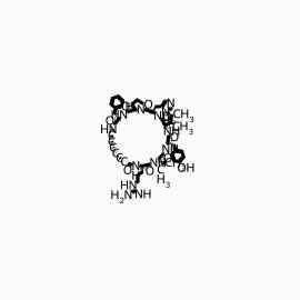 CC[C@H](C)[C@@H]1NC(=O)[C@H](Cc2ccc(O)cc2)NC(=O)[C@H](C(C)C)NC(=O)[C@@H](CCCNC(=N)N)NC(=O)CCCCCCNC(=O)[C@H](Cc2ccccc2)NC(=O)[C@@H]2CCCN2C(=O)[C@@H](Cc2cnc[nH]2)NC1=O